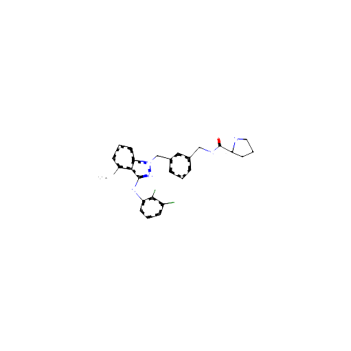 COc1cccc2c1c(Nc1cccc(Cl)c1Cl)nn2Cc1cccc(CNC(=O)[C@]2(C)CCCN2)c1